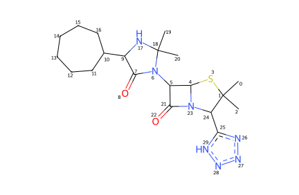 CC1(C)SC2C(N3C(=O)C(C4CCCCCC4)NC3(C)C)C(=O)N2C1c1nnn[nH]1